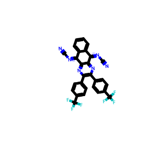 N#C/N=C1/c2ccccc2/C(=N\C#N)c2nc(-c3ccc(C(F)(F)F)cc3)c(-c3ccc(C(F)(F)F)cc3)nc21